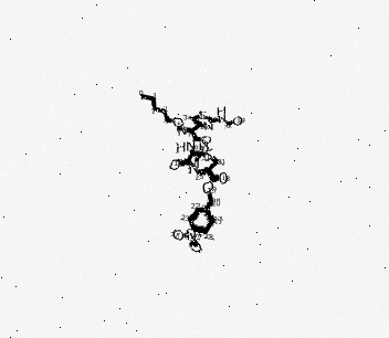 CCCCCON=C(C(=O)NC1C(=O)N2C=C(C(=O)OCc3ccc([N+](=O)[O-])cc3)CS[C@H]12)c1csc(NC=O)n1